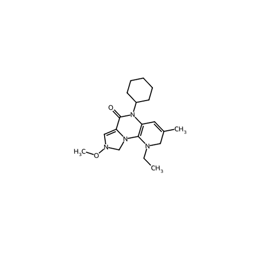 CCN1CC(C)=CC2=C1N1CN(OC)C=C1C(=O)N2C1CCCCC1